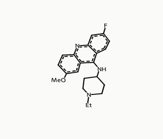 CCN1CCC(Nc2c3ccc(F)cc3nc3ccc(OC)cc23)CC1